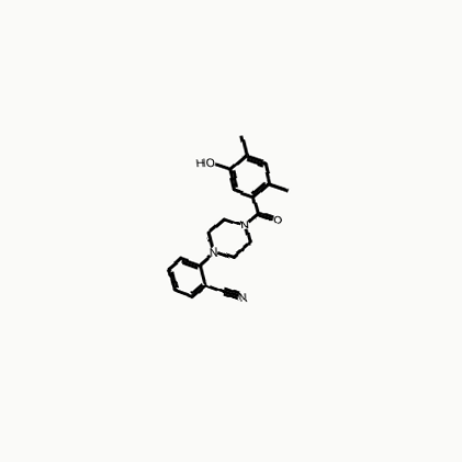 Cc1cc(C)c(C(=O)N2CCN(c3ccccc3C#N)CC2)cc1O